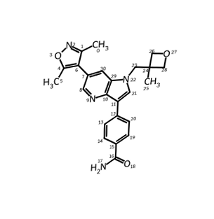 Cc1noc(C)c1-c1cnc2c(-c3ccc(C(N)=O)cc3)cn(CC3(C)COC3)c2c1